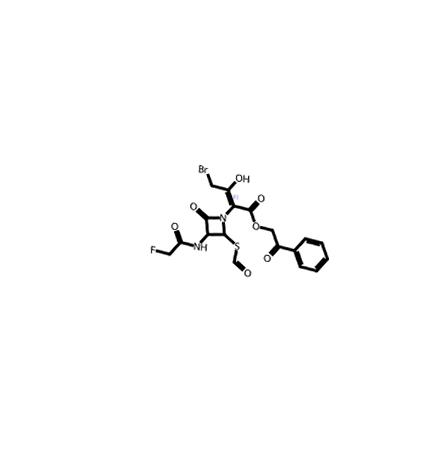 O=CSC1C(NC(=O)CF)C(=O)N1/C(C(=O)OCC(=O)c1ccccc1)=C(/O)CBr